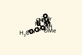 COc1cc(N2CCC(N3CCN(C)CC3)CC2)c(-c2cnn(C)c2)cc1Nc1ncc(Br)c(Nc2[c]cccc2)n1